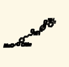 COCCOc1ccc(C=CC=CC(=O)NCCN2CCN(C(=O)c3ccccc3N)CC2)cc1OC